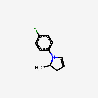 CC1CC=CN1c1ccc(F)cc1